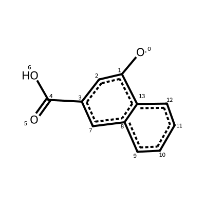 [O]c1cc(C(=O)O)cc2ccccc12